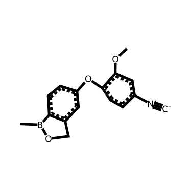 [C-]#[N+]c1ccc(Oc2ccc3c(c2)COB3C)c(OC)c1